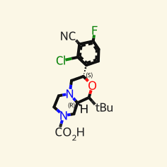 CC(C)(C)C1O[C@@H](c2ccc(F)c(C#N)c2Cl)CN2CCN(C(=O)O)C[C@H]12